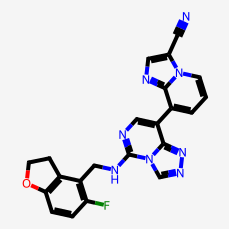 N#Cc1cnc2c(-c3cnc(NCc4c(F)ccc5c4CCO5)n4cnnc34)cccn12